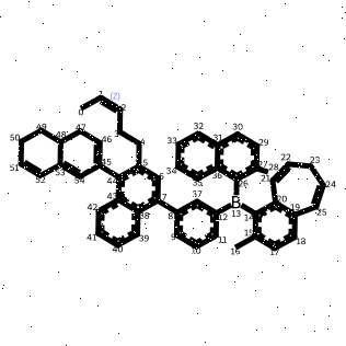 C/C=C\CCc1cc(-c2cccc(B(c3c(C)ccc4c3C=CCC=C4)c3c(C)ccc4ccccc34)c2)c2ccccc2c1C1=CCC2CCC=CC2=C1